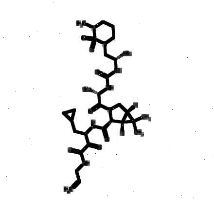 C=CCNC(=O)C(=O)C(CC1CC1)NC(=O)[C@@H]1[C@@H]2[C@H](CN1C(=O)[C@@H](NC(=O)N[C@H](CN1CCCN(C)S1(=O)=O)C(C)(C)C)C(C)(C)C)C2(C)C